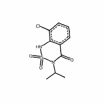 CC(C)N1C(=O)c2cccc(Cl)c2NS1(=O)=O